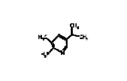 Cc1cc(C(C)C)cnc1P